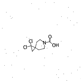 O=C(O)N1CCC2(CC1)CC2(Cl)Cl